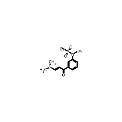 CCCN(c1cccc(C(=O)/C=C/N(C)C)c1)S(=O)(=O)C(C)C